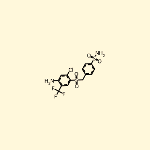 Nc1cc(Cl)c(S(=O)(=O)Cc2ccc(S(N)(=O)=O)cc2)cc1C(F)(F)F